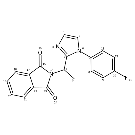 CC(c1nccn1-c1ccc(F)cc1)N1C(=O)c2ccccc2C1=O